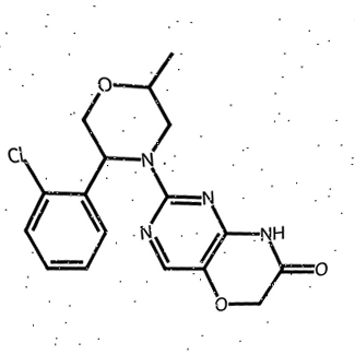 CC1CN(c2ncc3c(n2)NC(=O)CO3)C(c2ccccc2Cl)CO1